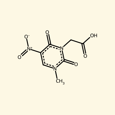 Cn1cc([N+](=O)[O-])c(=O)n(CC(=O)O)c1=O